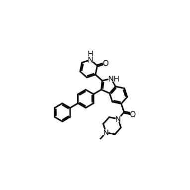 CN1CCN(C(=O)c2ccc3[nH]c(-c4ccc[nH]c4=O)c(-c4ccc(-c5ccccc5)cc4)c3c2)CC1